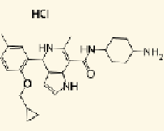 CC1=C(C(=O)NC2CCC(N)CC2)c2[nH]ccc2C(c2cc(C)ccc2OCC2CC2)N1.Cl